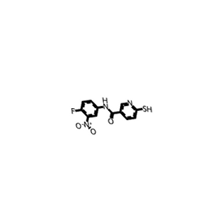 O=C(Nc1ccc(F)c([N+](=O)[O-])c1)c1ccc(S)nc1